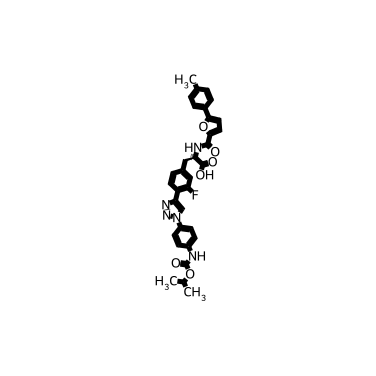 Cc1ccc(-c2ccc(C(=O)N[C@H](Cc3ccc(-c4cn(-c5ccc(NC(=O)OC(C)C)cc5)nn4)c(F)c3)C(=O)O)o2)cc1